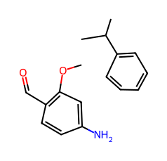 CC(C)c1ccccc1.COc1cc(N)ccc1C=O